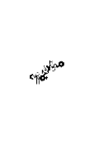 O=C(Nc1cnc2nc(-c3cc(NC(=O)N4CCCC4)ccc3F)cn2c1)OCc1ccccc1